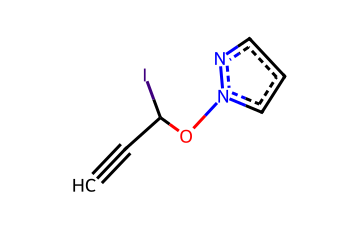 C#CC(I)On1cccn1